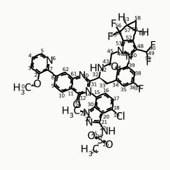 COc1cccnc1-c1ccc2c(=O)n(-c3ccc(Cl)c4c(NS(C)(=O)=O)nn(C)c34)c([C@H](Cc3cc(F)cc(F)c3)NC(=O)Cn3nc(C(F)F)c4c3C(F)(F)[C@@H]3C[C@H]43)nc2c1